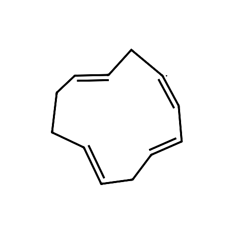 [C]1=C\C=C\C/C=C/CC/C=C/C/1